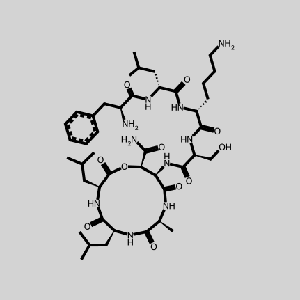 CC(C)C[C@@H]1NC(=O)[C@H](C)NC(=O)[C@H](NC(=O)[C@H](CO)NC(=O)[C@@H](CCCCN)NC(=O)[C@@H](CC(C)C)NC(=O)[C@@H](N)Cc2ccccc2)[C@H](C(N)=O)OC(=O)[C@H](CC(C)C)NC1=O